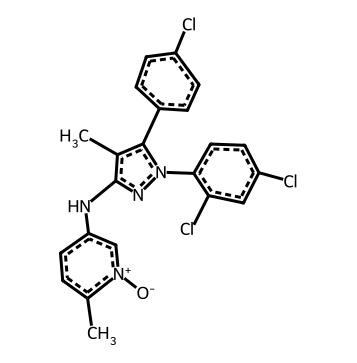 Cc1c(Nc2ccc(C)[n+]([O-])c2)nn(-c2ccc(Cl)cc2Cl)c1-c1ccc(Cl)cc1